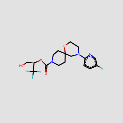 O=C(O[C@H](CO)C(F)(F)F)N1CCC2(CC1)CN(c1ccc(F)cn1)CCO2